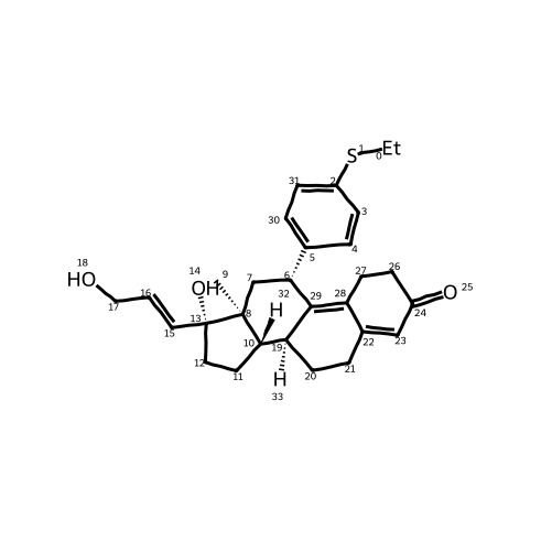 CCSc1ccc([C@H]2C[C@@]3(C)[C@@H](CC[C@@]3(O)C=CCO)[C@@H]3CCC4=CC(=O)CCC4=C32)cc1